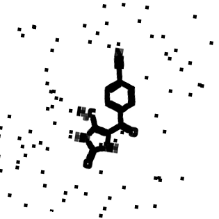 Cc1[nH]c(=O)[nH]c1C(=O)c1ccc(C#N)cc1